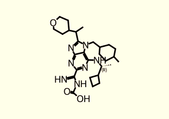 CC1CCC(Cn2c(C(C)C3CCOCC3)nc3nc(C(=N)NC(=O)O)nc(N[C@H](C)C4CCC4)c32)CC1